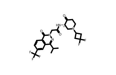 CC(C)c1nn(CC(=O)N[C@H]2CN(C3CC(F)(F)C3)CCC2=O)c(=O)c2ccc(C(F)(F)F)cc12